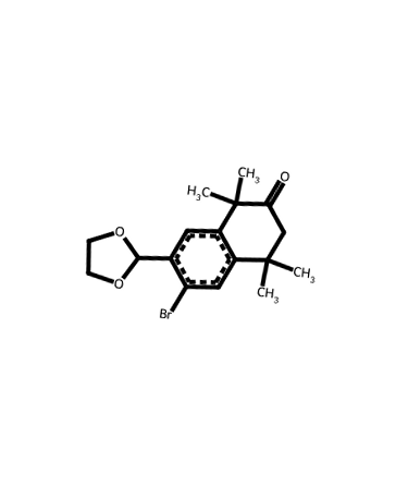 CC1(C)CC(=O)C(C)(C)c2cc(C3OCCO3)c(Br)cc21